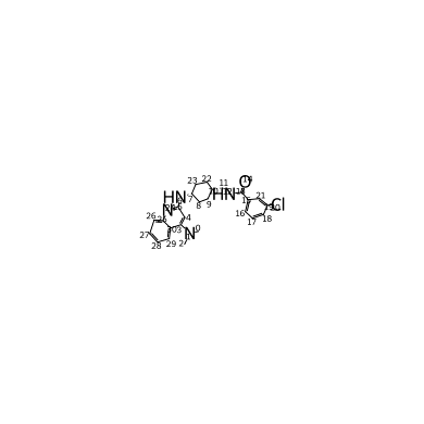 CN(C)c1cc(N[C@H]2CC[C@@H](CNC(=O)c3cccc(Cl)c3)CC2)nc2ccccc12